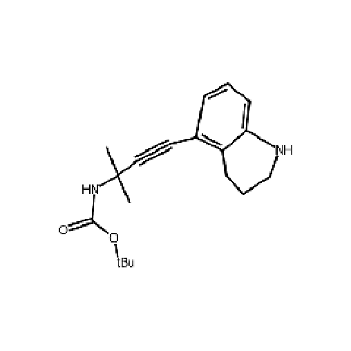 CC(C)(C#Cc1cccc2c1CCCN2)NC(=O)OC(C)(C)C